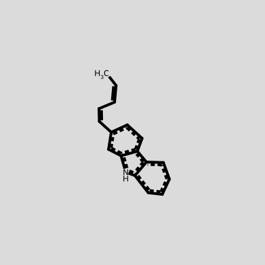 C/C=C\C=C/c1ccc2c(c1)[nH]c1ccccc12